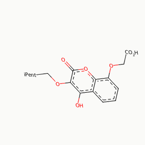 CCCC(C)COc1c(O)c2cccc(OCC(=O)O)c2oc1=O